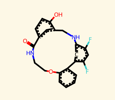 O=C1NCCOc2ccccc2-c2cc(c(F)cc2F)NCc2cc1ccc2O